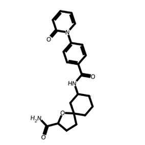 NC(=O)C1CCC2(CC[CH]C(NC(=O)c3ccc(-n4ccccc4=O)cc3)C2)O1